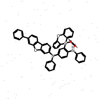 c1ccc(-c2ccc3c(c2)oc2cc(N(c4ccccc4)c4ccc5c(c4)[Si]4(c6ccccc6Oc6ccccc64)c4ccccc4[SiH]5c4ccccc4)ccc23)cc1